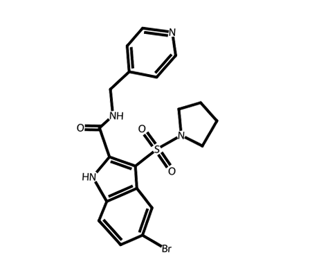 O=C(NCc1ccncc1)c1[nH]c2ccc(Br)cc2c1S(=O)(=O)N1CCCC1